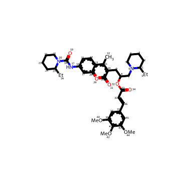 CCC1CCCCN1CC(Cc1c(C)c2ccc(NC(=O)N3CCCCC3CC)cc2oc1=O)OC(=O)C=Cc1cc(OC)c(OC)c(OC)c1